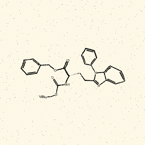 CC(C)(C)OC(=O)N[C@@H](CCc1nc2ccccc2n1-c1ccccc1)C(=O)OCc1ccccc1